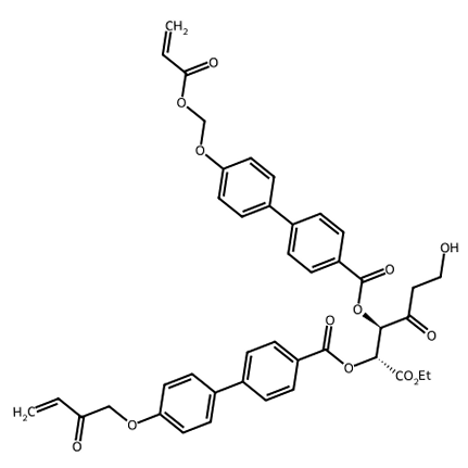 C=CC(=O)COc1ccc(-c2ccc(C(=O)O[C@@H](C(=O)OCC)[C@@H](OC(=O)c3ccc(-c4ccc(OCOC(=O)C=C)cc4)cc3)C(=O)CCO)cc2)cc1